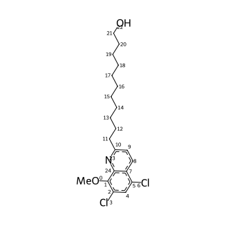 COc1c(Cl)cc(Cl)c2ccc(CCCCCCCCCCCO)nc12